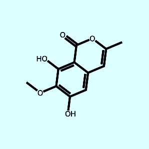 COc1c(O)cc2cc(C)oc(=O)c2c1O